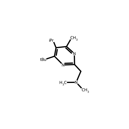 Cc1nc(CN(C)C)nc(C(C)(C)C)c1C(C)C